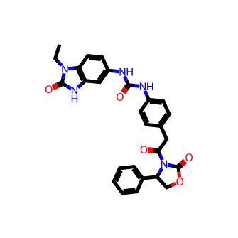 CCn1c(=O)[nH]c2cc(NC(=O)Nc3ccc(CC(=O)N4C(=O)OCC4c4ccccc4)cc3)ccc21